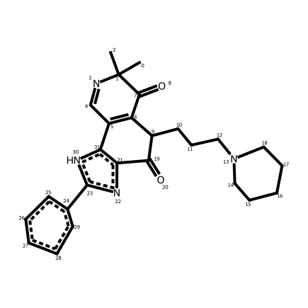 CC1(C)N=CC2=C(C1=O)C(CCCN1CCCCC1)C(=O)c1nc(-c3ccccc3)[nH]c12